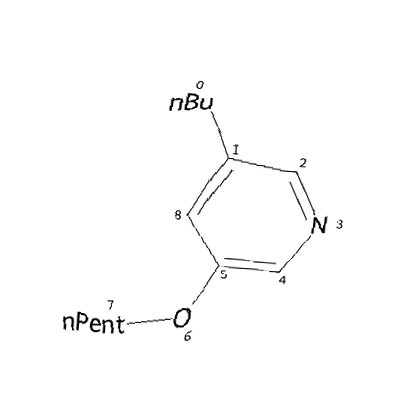 [CH2]CCCc1cncc(OCCCCC)c1